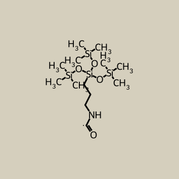 C[Si](C)(C)O[Si](CCCN[C]=O)(O[Si](C)(C)C)O[Si](C)(C)C